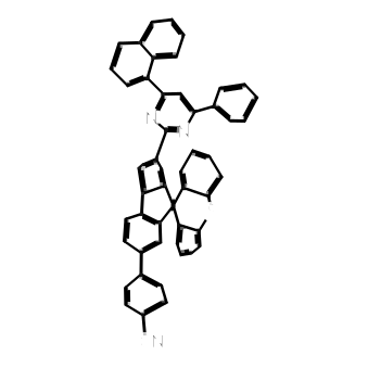 N#Cc1ccc(-c2ccc3c(c2)C2(c4ccccc4Sc4ccccc42)c2cc(-c4nc(-c5ccccc5)cc(-c5cccc6ccccc56)n4)ccc2-3)cc1